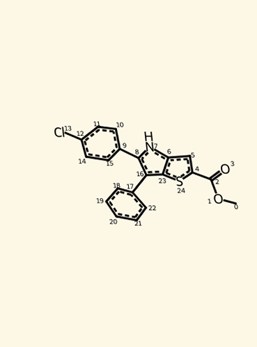 COC(=O)c1cc2[nH]c(-c3ccc(Cl)cc3)c(-c3ccccc3)c2s1